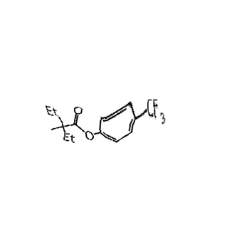 CCC(C)(CC)C(=O)Oc1ccc(C(F)(F)F)cc1